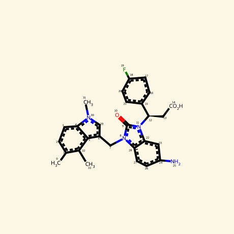 Cc1ccc2c(c(Cn3c(=O)n([C@H](CC(=O)O)c4ccc(F)cc4)c4cc(N)ccc43)cn2C)c1C